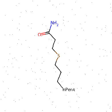 CCCCCCCCSCCC(N)=O